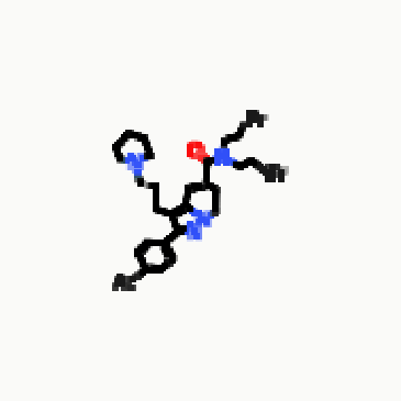 CC(=O)c1ccc(-c2nn3ccc(C(=O)N(CCC(C)C)CCC(C)C)cc3c2CCCN2CCCCC2)cc1